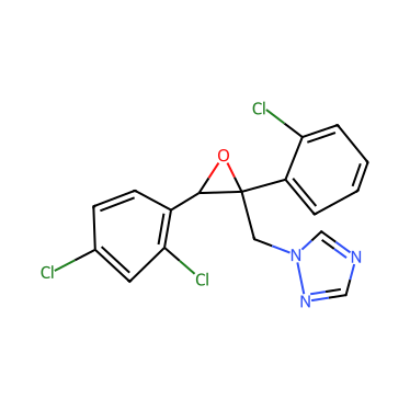 Clc1ccc(C2OC2(Cn2cncn2)c2ccccc2Cl)c(Cl)c1